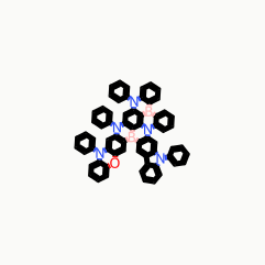 c1ccc(N2c3ccccc3Oc3cc4c(cc32)N(c2ccccc2)c2cc3c5c6c2B4c2cc4c7ccccc7n(-c7ccccc7)c4cc2N6c2ccccc2B5c2ccccc2N3c2ccccc2)cc1